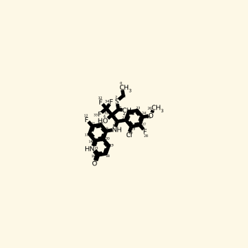 CCSC(C)C(O)(C(Nc1cc(F)cc2[nH]c(=O)ccc12)c1ccc(OC)c(F)c1Cl)C(F)(F)F